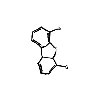 ClC1=CC=CC2c3cccc(Br)c3SC12